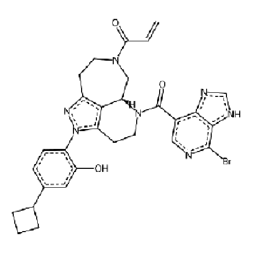 C=CC(=O)N1CCc2nn(-c3ccc(C4CCC4)cc3O)c3c2[C@H](C1)N(C(=O)c1cnc(Br)c2[nH]cnc12)CC3